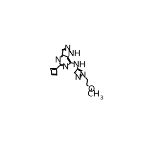 COCCn1cc(Nc2nc(C3=CC=C3)nc3cn[nH]c23)cn1